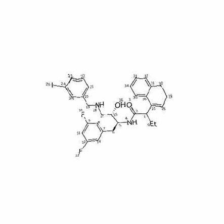 CCC(C(=O)N[C@@H](Cc1cc(F)cc(F)c1)[C@@H](O)CNCc1cccc(I)c1)C1=CCCc2ccccc21